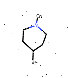 CC(C)C1CCN(C#N)CC1